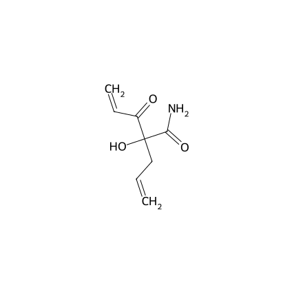 C=CCC(O)(C(N)=O)C(=O)C=C